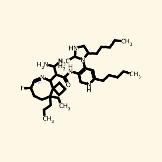 CCCCCC1=CC(N2C(CCCCC)CNC2C)=C(NC(=O)C(C(N)N)C2/N=C\C(F)CCC(CC)(CCC)C23CCC3)CN1